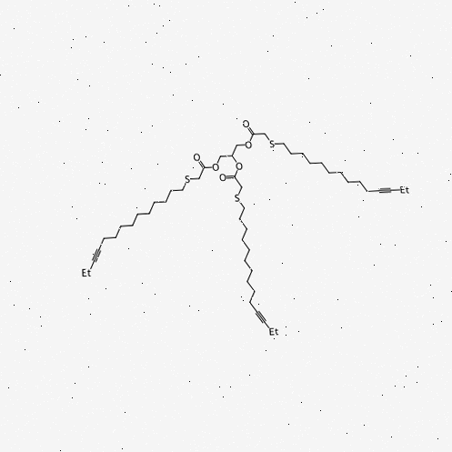 CCC#CCCCCCCCCCCSCC(=O)OCC(COC(=O)CSCCCCCCCCCCC#CCC)OC(=O)CSCCCCCCCCCCC#CCC